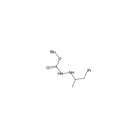 CC(C)CC(C)NNC(=O)OC(C)(C)C